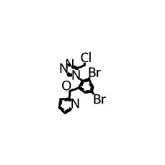 O=C(c1ccccn1)c1cc(Br)cc(Br)c1-n1cnnc1CCl